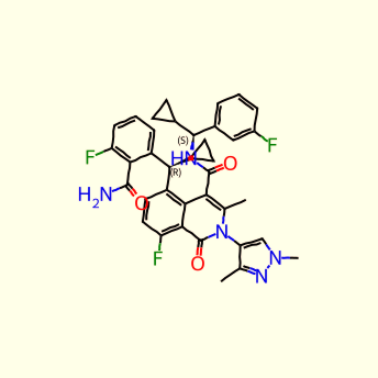 Cc1nn(C)cc1-n1c(C)c(C(=O)N[C@H](c2cccc(F)c2)C2CC2)c2c([C@@H](c3cccc(F)c3C(N)=O)C3CC3)ccc(F)c2c1=O